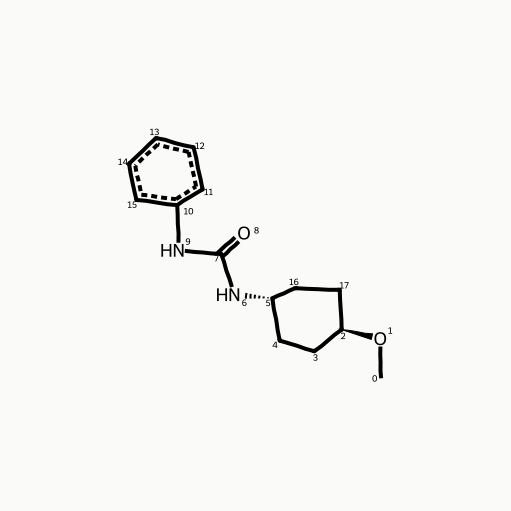 CO[C@H]1CC[C@H](NC(=O)Nc2ccccc2)CC1